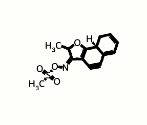 CC1OC2=C(C#CC3=CC=CC[C@H]32)/C1=N/OS(C)(=O)=O